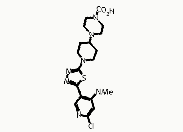 CNc1cc(Cl)ncc1-c1nnc(N2CCC(N3CCN(C(=O)O)CC3)CC2)s1